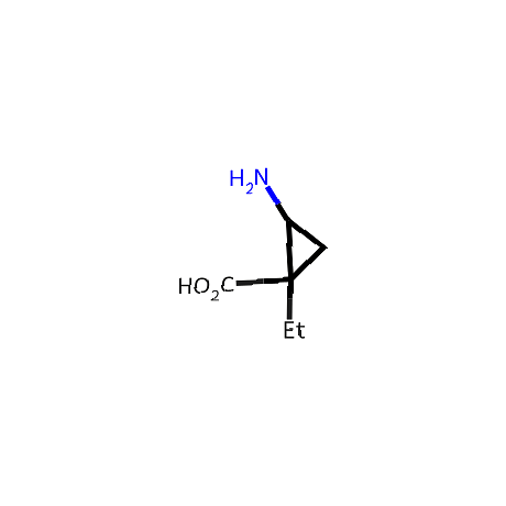 CCC1(C(=O)O)CC1N